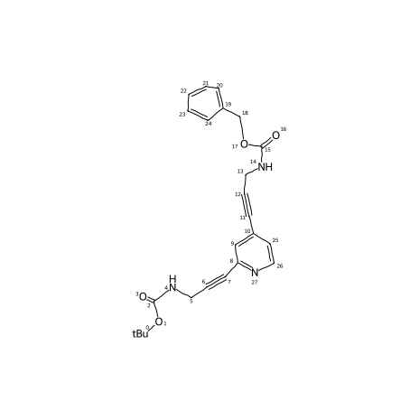 CC(C)(C)OC(=O)NCC#Cc1cc(C#CCNC(=O)OCc2ccccc2)ccn1